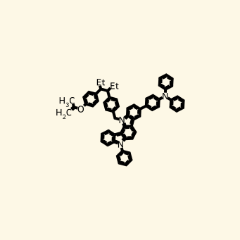 C=C(C)Oc1ccc(C(CC)C(CC)c2ccc(Cn3c4ccc(-c5ccc(N(c6ccccc6)c6ccccc6)cc5)cc4c4ccc5c(c6ccccc6n5-c5ccccc5)c43)cc2)cc1